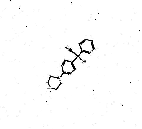 C#CC(O)(c1ccccc1)c1ccc(N2CCOCC2)cc1